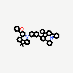 CC1(C)c2ccccc2-c2c(N(c3ccc4ccc(-c5ccc6c7c5C5(CCCC5)c5ccc8c9ccccc9n(c8c5-7)-c5ccccc5-6)cc4c3)c3ccc4c(c3)oc3ccccc34)cccc21